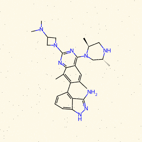 Cc1cc2c(N3C[C@@H](C)NC[C@@H]3C)nc(N3CC(N(C)C)C3)nc2c(C)c1-c1cccc2[nH]nc(N)c12